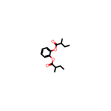 CCC(C)C(=O)Oc1ccccc1OC(=O)C(C)CC